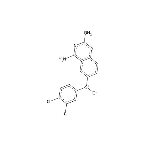 Nc1nc(N)c2cc([S+]([O-])c3ccc(Cl)c(Cl)c3)ccc2n1